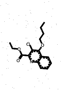 CCCCOc1c(Cl)c(C(=O)OCC)nc2ccccc12